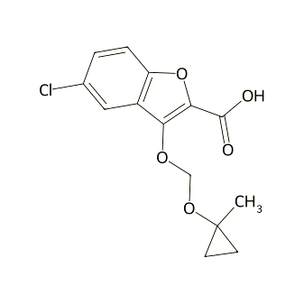 CC1(OCOc2c(C(=O)O)oc3ccc(Cl)cc23)CC1